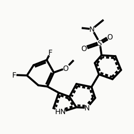 COC1=C(c2c[nH]c3ncc(-c4cccc(S(=O)(=O)N(C)C)c4)cc23)CC(F)C=C1F